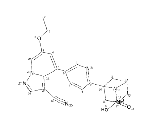 CCOc1cc(-c2ccc(C34CNCC(C3)N4C(=O)O)nc2)c2c(C#N)cnn2c1